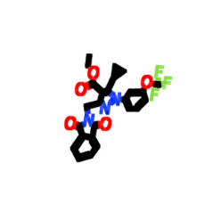 CCOC(=O)c1c(CN2C(=O)c3ccccc3C2=O)nn(-c2cccc(OC(F)(F)F)c2)c1C1CC1